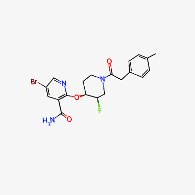 Cc1ccc(CC(=O)N2CC[C@H](Oc3ncc(Br)cc3C(N)=O)[C@H](F)C2)cc1